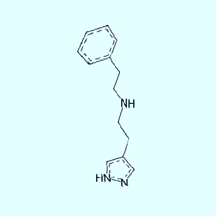 c1ccc(CCNCCc2cn[nH]c2)cc1